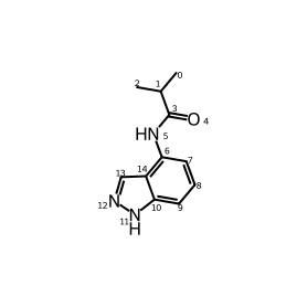 CC(C)C(=O)Nc1cccc2[nH]ncc12